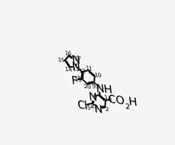 O=C(O)c1cnc(Cl)nc1Nc1ccc(-n2cccn2)c(F)c1